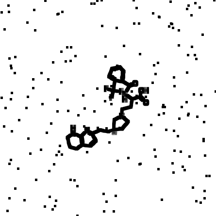 O=C(NC(CCN1CC[C@@H](CCc2ccc3c(n2)NCCC3)C1)C(=O)O)c1ccccc1C(F)(F)F